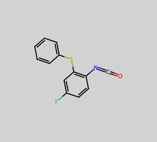 O=C=Nc1ccc(F)cc1Sc1ccccc1